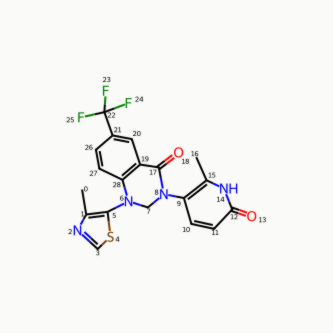 Cc1ncsc1N1CN(c2ccc(=O)[nH]c2C)C(=O)c2cc(C(F)(F)F)ccc21